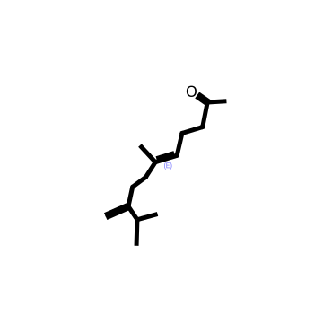 C=C(CC/C(C)=C/CCC(C)=O)C(C)C